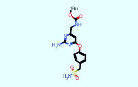 CC(C)(C)OC(=O)NCc1cc(Oc2ccc(CS(N)(=O)=O)cc2)nc(N)n1